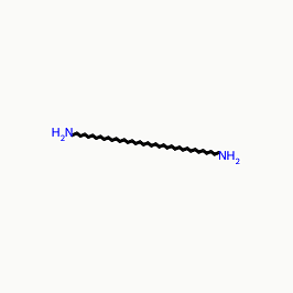 NCCCCCCCCCCCCCCCCCCCCCCCCCCCCCCCCCCCCCCN